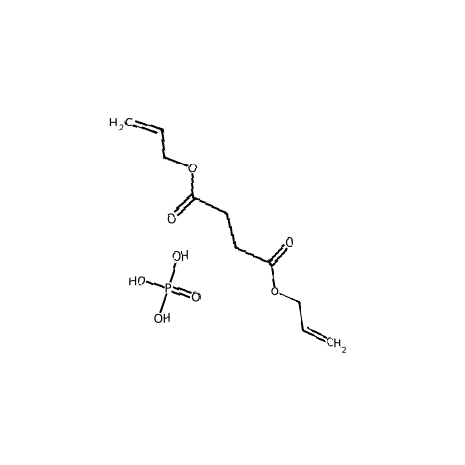 C=CCOC(=O)CCC(=O)OCC=C.O=P(O)(O)O